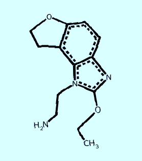 CCOc1nc2ccc3c(c2n1CCN)CCO3